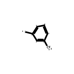 FC(F)(F)c1[c]c(I)ccc1